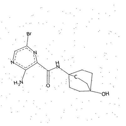 Nc1ncc(Br)nc1C(=O)NC12CCC(O)(CC1)CC2